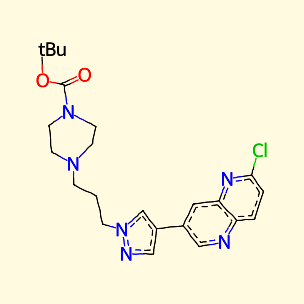 CC(C)(C)OC(=O)N1CCN(CCCn2cc(-c3cnc4ccc(Cl)nc4c3)cn2)CC1